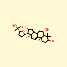 CC1(C)C(O)CC[C@]2(C)C3=CC[C@]4(C)[C@@H]([C@@]5(C)CC[C@@H](C(C)(C)O)O5)[C@@H](O)C[C@@]4(C)C3C[C@H](O)C12